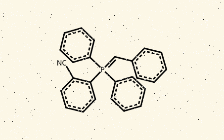 N#Cc1ccccc1P(=Cc1ccccc1)(c1ccccc1)c1ccccc1